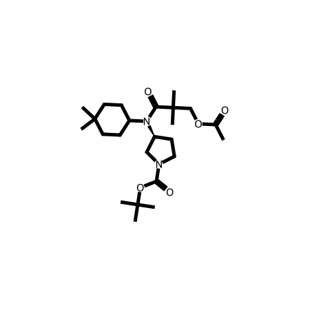 CC(=O)OCC(C)(C)C(=O)N(C1CCC(C)(C)CC1)[C@H]1CCN(C(=O)OC(C)(C)C)C1